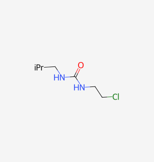 CC(C)CNC(=O)NCCCl